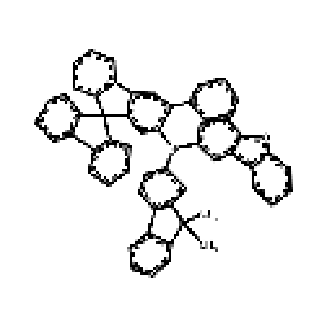 CC1(C)c2ccccc2-c2ccc(N(c3ccc4oc5ccccc5c4c3)c3cc4c(cc3-c3ccccc3)-c3ccccc3C43c4ccccc4-c4ccccc43)cc21